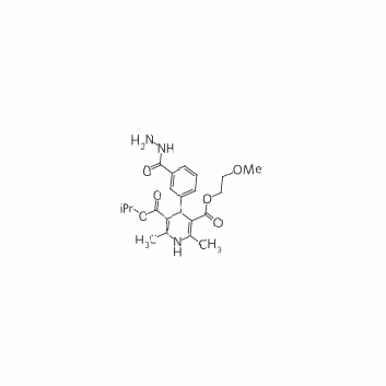 COCCOC(=O)C1=C(C)NC(C)=C(C(=O)OC(C)C)C1c1cccc(C(=O)NN)c1